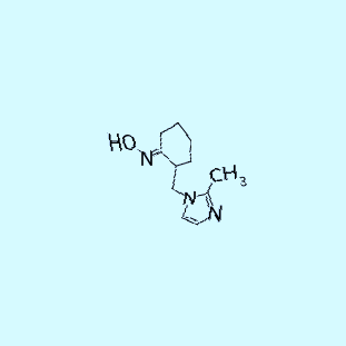 Cc1nccn1CC1CCCCC1=NO